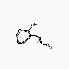 C/C=C/c1ccccc1OC(C)=O